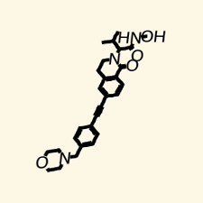 CC(C)C(C(=O)NO)N1CCc2cc(C#Cc3ccc(CN4CCOCC4)cc3)ccc2C1=O